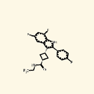 O=C(NCC(F)(F)F)[C@H]1C[C@H](c2c(-c3ccc(F)cc3)[nH]c3c(F)cc(F)cc32)C1